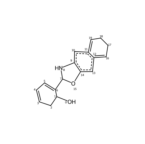 OC1CC=CC=C1C1Nc2cc3c(cc2O1)=CCCC=3